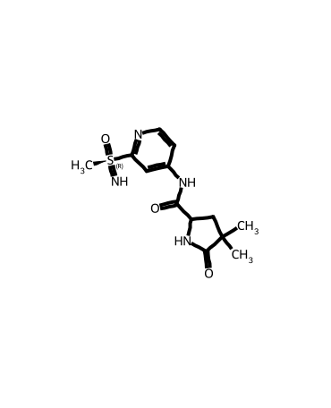 CC1(C)CC(C(=O)Nc2ccnc([S@](C)(=N)=O)c2)NC1=O